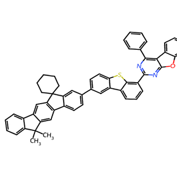 CC1(C)c2ccccc2-c2cc3c(cc21)-c1ccc(-c2ccc4sc5c(-c6nc(-c7ccccc7)c7c(n6)oc6ccccc67)cccc5c4c2)cc1C31CCCCC1